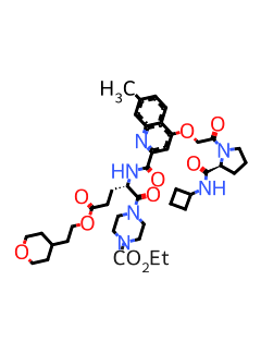 CCOC(=O)N1CCN(C(=O)[C@H](CCC(=O)OCCC2CCOCC2)NC(=O)c2cc(OCC(=O)N3CCC[C@H]3C(=O)NC3CCC3)c3ccc(C)cc3n2)CC1